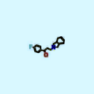 O=C(CCN1CC2=CC=CCC2C1)c1ccc(F)cc1